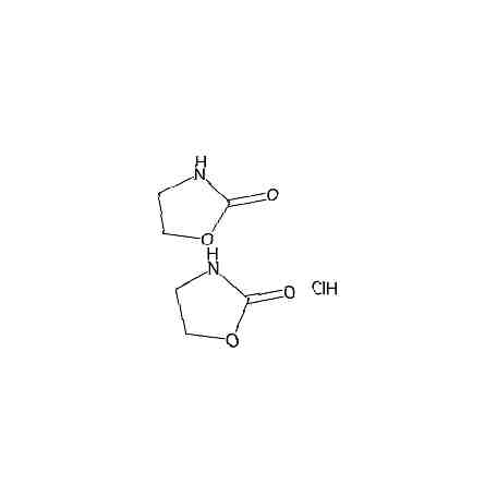 Cl.O=C1NCCO1.O=C1NCCO1